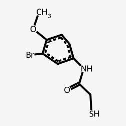 COc1ccc(NC(=O)CS)cc1Br